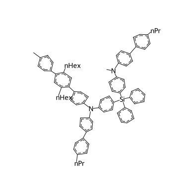 CCCCCCc1cc(-c2ccc(N(c3ccc(-c4ccc(CCC)cc4)cc3)c3ccc([Si](c4ccccc4)(c4ccccc4)c4ccc(N(C)c5ccc(-c6ccc(CCC)cc6)cc5)cc4)cc3)cc2)c(CCCCCC)cc1-c1ccc(C)cc1